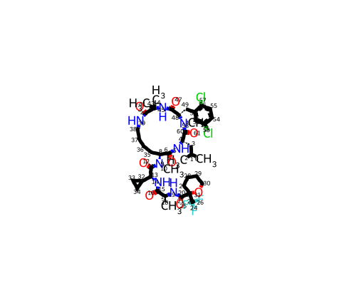 CC(C)C[C@@H]1NC(=O)[C@@H](N(C)C(=O)[C@@H](NC(=O)[C@H](C)NC(=O)C2(C(F)(F)F)CCCCO2)C2CC2)CCCCNC(=O)C(C)(C)NC(=O)[C@H](Cc2cc(Cl)ccc2Cl)N(C)C1=O